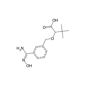 CC(C)(C)C(OCc1cccc(/C(N)=N\O)c1)C(=O)O